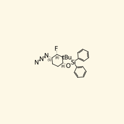 CC(C)(C)[Si](O[C@@H]1CC[C@H](N=[N+]=[N-])[C@H](F)C1)(c1ccccc1)c1ccccc1